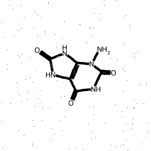 Nn1c(=O)[nH]c(=O)c2[nH]c(=O)[nH]c21